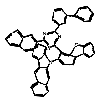 c1ccc(-c2cccc(-c3nc(-c4ccc5ccccc5c4)nc(-c4c(-n5c6ccccc6c6cc7ccccc7cc65)ccc5c4oc4ccccc45)n3)c2)cc1